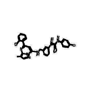 Cc1cnn2c(NCc3cccc(NC(=O)Nc4ccc(Cl)cc4)c3)cc(-c3ccccc3Cl)nc12